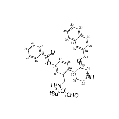 CC(C)(C)OC=O.NCc1cc(OC(=O)c2ccccc2)ccc1C1CCNCC1OCc1ccc2ccccc2c1